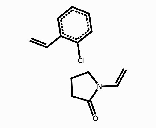 C=CN1CCCC1=O.C=Cc1ccccc1Cl